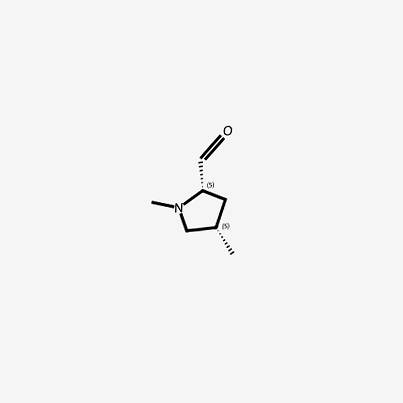 C[C@H]1C[C@@H](C=O)N(C)C1